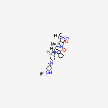 CSc1cc(C)[nH]c(=O)c1CNC(=O)c1c(C)n([C@H](C)C2CCC(N3CC4(CCC(NC(C)C)CC4)C3)CC2)c2ccccc12